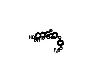 O=CN(O)C(CC1CCS(O)(O)CC1)CS(=O)(=O)c1ccc(Oc2ccc(OC(F)(F)F)cc2)cc1